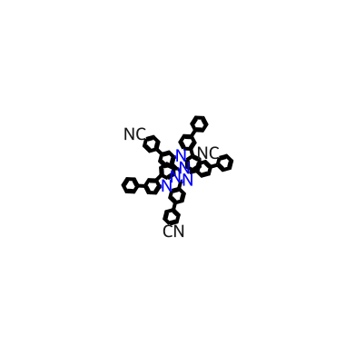 N#Cc1ccc(-c2ccc(-c3nc(-c4ccc(-c5ccccc5C#N)cc4)nc(-c4ccc(-c5ccc(C#N)cc5)cc4-n4c5ccccc5c5cc(-c6ccccc6)ccc54)n3)c(-n3c4ccccc4c4cc(-c5ccccc5)ccc43)c2)cc1